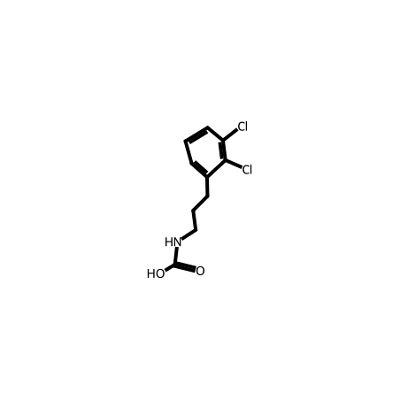 O=C(O)NCCCc1cccc(Cl)c1Cl